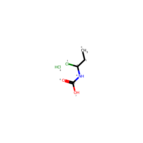 CCC(Cl)NC(=O)O.Cl